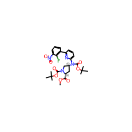 COC(=O)[C@@H]1C[C@H](N(C(=O)OC(C)(C)C)c2cccc(-c3cccc([N+](=O)[O-])c3F)n2)CN1C(=O)OC(C)(C)C